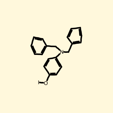 IOc1ccc(N(Cc2ccccc2)Cc2ccccc2)cc1